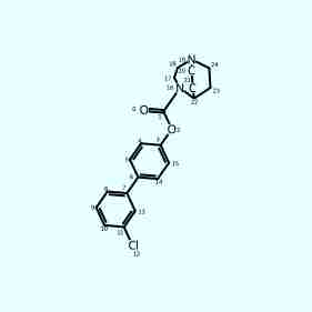 O=C(Oc1ccc(-c2cccc(Cl)c2)cc1)N1CCN2CCC1CC2